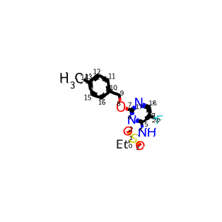 CCS(=O)(=O)Nc1nc(OCc2ccc(C)cc2)ncc1F